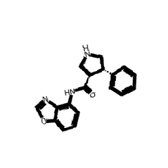 O=C(Nc1cccc2ocnc12)[C@H]1CNC[C@@H]1c1ccccc1